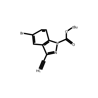 C#Cc1nn(C(=O)OC(C)(C)C)c2ccc(Br)cc12